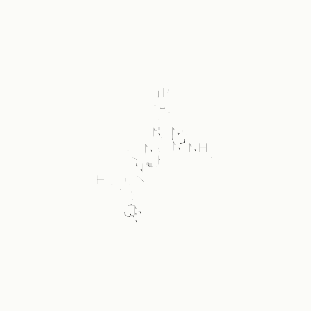 CC(C)(C)OC(=O)CON=C(C(=O)NC1C(=O)N2C(C(=O)O)=C(CSc3nncs3)CS[C@@H]12)c1nsc(N)n1